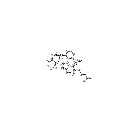 COc1cccc(OC)c1-c1c(C(=O)NCCCN(C)C)c(C(=O)O)nn1-c1cccc2ccccc12